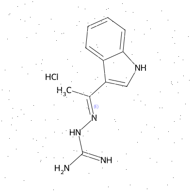 C/C(=N\NC(=N)N)c1c[nH]c2ccccc12.Cl